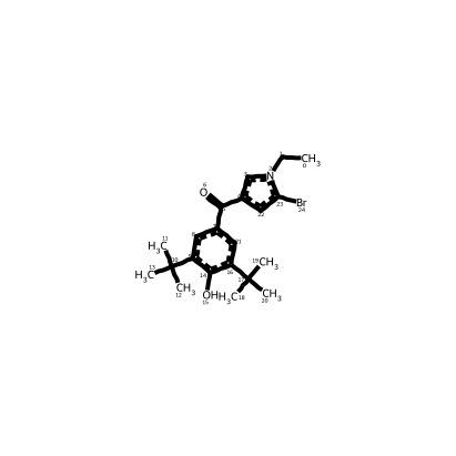 CCn1cc(C(=O)c2cc(C(C)(C)C)c(O)c(C(C)(C)C)c2)cc1Br